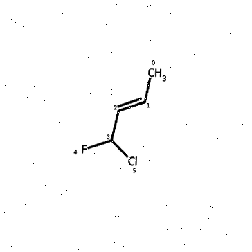 CC=CC(F)Cl